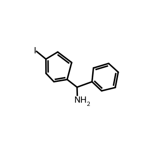 NC(c1ccccc1)c1ccc(I)cc1